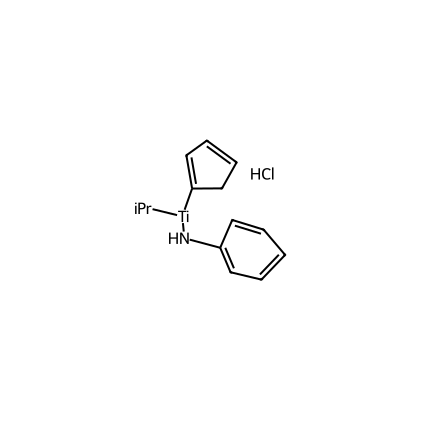 C[CH](C)[Ti]([NH]c1ccccc1)[C]1=CC=CC1.Cl